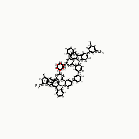 Cc1cc(-c2ccc3c(c2)c2ccccc2n3-c2ccc(-c3cccc(-c4ccc(-n5c6ccccc6c6cc(-c7cc(C)cc(C(F)(F)F)c7)ccc65)c(-c5nc(-c6ccccc6)nc(-c6ccccc6)n5)c4)c3)cc2-c2nc(-c3ccccc3)nc(-c3ccccc3)n2)cc(C(F)(F)F)c1